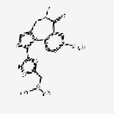 CCCN(CCC)Cc1nc(-c2ncc3n2-c2ccc(Cl)cc2C(=O)N(C)C3)no1.Cl